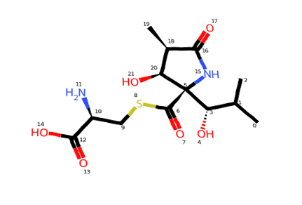 CC(C)[C@H](O)[C@@]1(C(=O)SC[C@H](N)C(=O)O)NC(=O)[C@H](C)[C@@H]1O